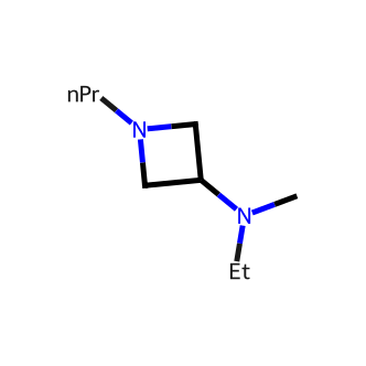 CCCN1CC(N(C)CC)C1